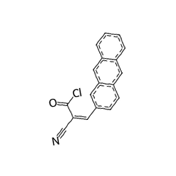 N#CC(=Cc1ccc2cc3ccccc3cc2c1)C(=O)Cl